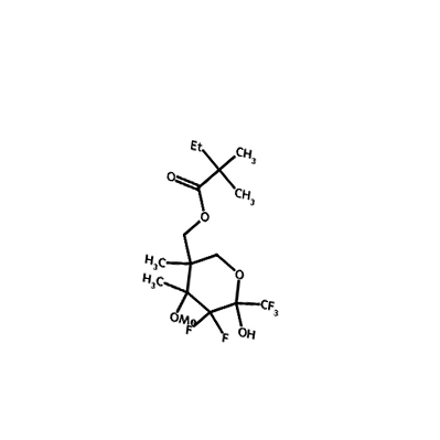 CCC(C)(C)C(=O)OCC1(C)COC(O)(C(F)(F)F)C(F)(F)C1(C)OC